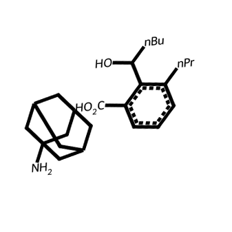 CCCCC(O)c1c(CCC)cccc1C(=O)O.NC12CC3CC(CC(C3)C1)C2